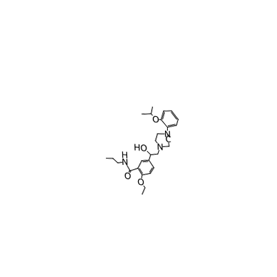 CCCNC(=O)c1cc(C(O)CN2CCN(c3ccccc3OC(C)C)CC2)ccc1OCC